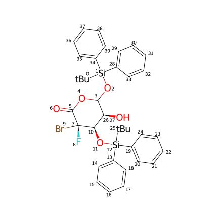 CC(C)(C)[Si](OC1OC(=O)[C@@](F)(Br)[C@H](O[Si](c2ccccc2)(c2ccccc2)C(C)(C)C)[C@@H]1O)(c1ccccc1)c1ccccc1